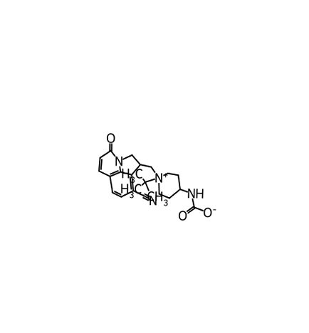 CC(C)(C)[N+]1(CC2Cn3c(=O)ccc4ccc(C#N)c2c43)CCC(NC(=O)[O-])CC1